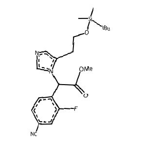 COC(=O)C(c1ccc(C#N)cc1F)n1cncc1CCO[Si](C)(C)C(C)(C)C